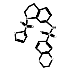 O=S(=O)(Nc1ccc2c(c1)N(S(=O)(=O)c1cccs1)CCC2)c1ccc2c(c1)OCCO2